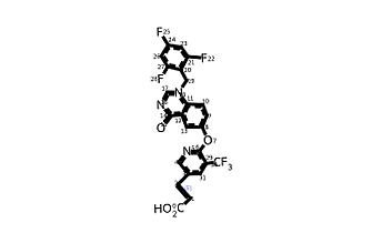 O=C(O)/C=C/c1cnc(Oc2ccc3c(c2)c(=O)ncn3Cc2c(F)cc(F)cc2F)c(C(F)(F)F)c1